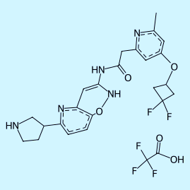 Cc1cc(OC2CC(F)(F)C2)cc(CC(=O)NC2=Cc3nc(C4CCNC4)ccc3ON2)n1.O=C(O)C(F)(F)F